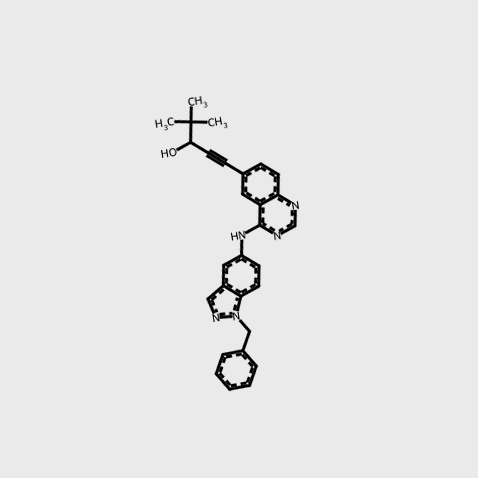 CC(C)(C)C(O)C#Cc1ccc2ncnc(Nc3ccc4c(cnn4Cc4ccccc4)c3)c2c1